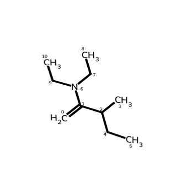 C=C(C(C)CC)N(CC)CC